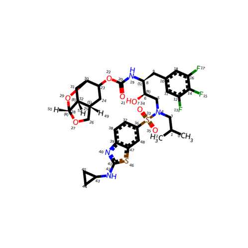 CC(C)CN(C[C@@H](O)[C@H](Cc1cc(F)c(F)c(F)c1)NC(=O)OC1C[C@@H]2CO[C@@H]3OC1C[C@H]23)S(=O)(=O)c1ccc2nc(NC3CC3)sc2c1